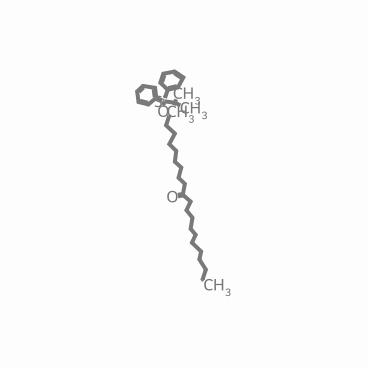 CCCCCCCCCCCC(=O)CCCCCCCCCO[Si](c1ccccc1)(c1ccccc1)C(C)(C)C